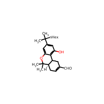 CCCCCCC(C)(C)c1cc(O)c2c(c1)OC(C)(C)[C@@H]1CC=C(C=O)CC21